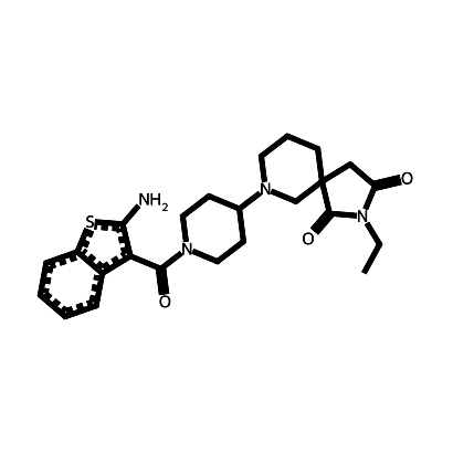 CCN1C(=O)CC2(CCCN(C3CCN(C(=O)c4c(N)sc5ccccc45)CC3)C2)C1=O